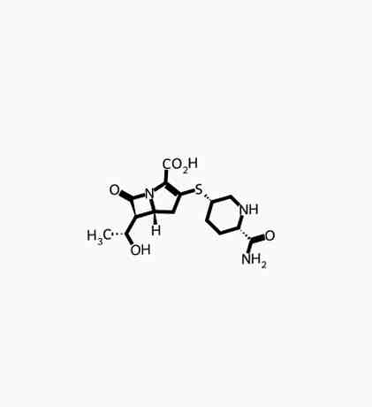 C[C@@H](O)[C@H]1C(=O)N2C(C(=O)O)=C(S[C@H]3CC[C@@H](C(N)=O)NC3)C[C@H]12